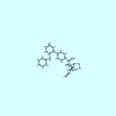 N#CN1CC2CCC1[C@@H]2NC(=O)c1ccc(-c2cnccc2Oc2ccccc2)cc1